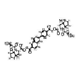 CC(C)(C)OC(=O)N1[C@H](C(=O)OCC(=O)c2ccc(-c3ccc4cc(C(=O)COC(=O)[C@@H]5C[C@@H]6CCC[C@@H]6N5C(=O)OC(C)(C)C)ccc4c3)cc2)C[C@@H]2CCC[C@@H]21